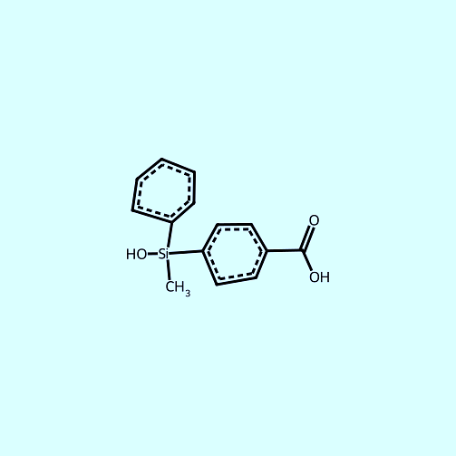 C[Si](O)(c1ccccc1)c1ccc(C(=O)O)cc1